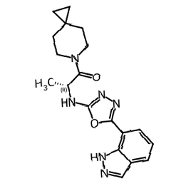 C[C@@H](Nc1nnc(-c2cccc3cn[nH]c23)o1)C(=O)N1CCC2(CC1)CC2